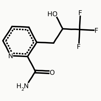 NC(=O)c1ncccc1CC(O)C(F)(F)F